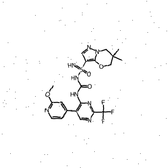 COc1cc(-c2cnc(C(F)(F)F)nc2NC(=O)NS(=N)(=O)c2cnn3c2OCC(C)(C)C3)ccn1